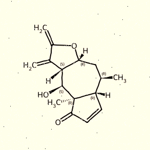 C=C1O[C@@H]2C[C@@H](C)[C@@H]3C=CC(=O)[C@@]3(C)[C@@H](O)[C@@H]2C1=C